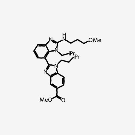 COCCCNc1nc2cccc(-c3nc4cc(C(=O)OC)ccc4n3CCC(C)C)c2n1CC(C)C